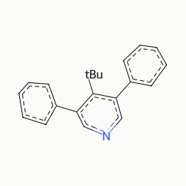 CC(C)(C)c1c(-c2ccccc2)cncc1-c1ccccc1